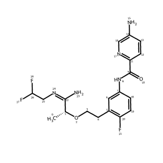 C[C@@H](OCCc1cc(NC(=O)c2ccc(N)cn2)ccc1F)/C(N)=N\CC(F)F